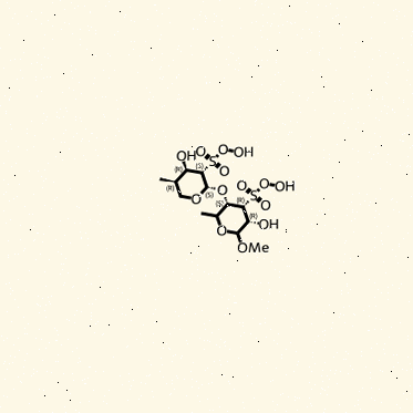 COC1OC(C)[C@H](O[C@@H]2OC[C@@H](C)[C@@H](O)[C@@H]2S(=O)(=O)OO)[C@H](S(=O)(=O)OO)[C@@H]1O